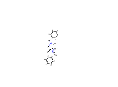 CC12CN(Cc3ccccc3)CC1(C)N2Cc1ccccc1